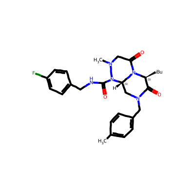 CCC(C)[C@H]1C(=O)N(Cc2ccc(C)cc2)C[C@H]2N1C(=O)CN(C)N2C(=O)NCc1ccc(F)cc1